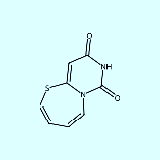 O=c1cc2n(c(=O)[nH]1)C=CC=CS2